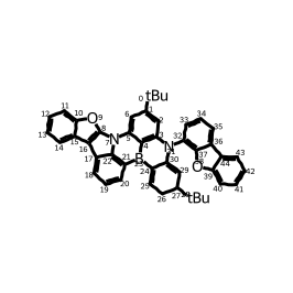 CC(C)(C)c1cc2c3c(c1)-n1c4oc5ccccc5c4c4cccc(c41)B3C1=CCC(C(C)(C)C)C=C1N2c1cccc2c1oc1ccccc12